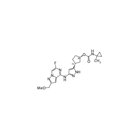 COCc1cc2c(Nc3cc([C@H]4CC[C@@H](OC(=O)NC5(C)CC5)C4)[nH]n3)nc(F)cn2n1